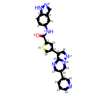 O=C(Nc1ccc2[nH]ncc2c1)c1cc(-c2cnn3cc(-c4cccnc4)cnc23)cs1